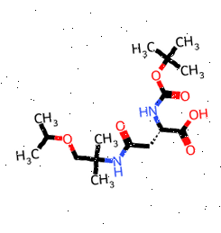 CC(C)OCC(C)(C)NC(=O)C[C@H](NC(=O)OC(C)(C)C)C(=O)O